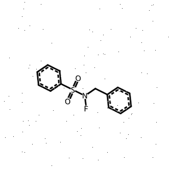 O=S(=O)(c1ccccc1)N(F)Cc1ccccc1